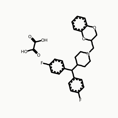 Fc1ccc(C(c2ccc(F)cc2)C2CCN(CC3COc4ccccc4O3)CC2)cc1.O=C(O)C(=O)O